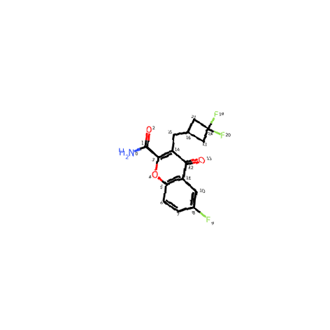 NC(=O)c1oc2ccc(F)cc2c(=O)c1CC1CC(F)(F)C1